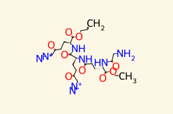 C=CCOC(=O)[C@H](CCC(=O)C=[N+]=[N-])NC(=O)[C@H](CCC(=O)C=[N+]=[N-])NC(=O)CC[C@H](NC(=O)CN)C(=O)OCC